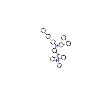 c1ccc(-c2ccc(-c3ccc(N(c4ccc(-c5ccccc5-c5ccccc5)cc4)c4cccc(-c5cc6ccccc6c6c5c5ccccc5n6-c5ccccc5)c4)cc3)cc2)cc1